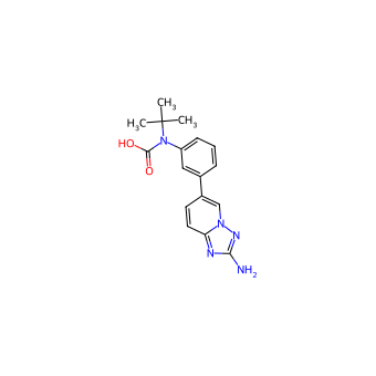 CC(C)(C)N(C(=O)O)c1cccc(-c2ccc3nc(N)nn3c2)c1